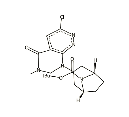 CN1CN(C2C[C@H]3CC[C@@H](C2)N3C(=O)OC(C)(C)C)c2nnc(Cl)cc2C1=O